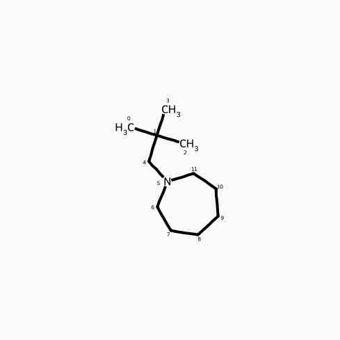 CC(C)(C)CN1CCCCCC1